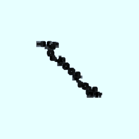 CCOC(Cc1ccc(OCCc2nc(-c3ccc(-c4ccc(-c5nc(CCOc6ccc(C[C@H](OCC)C(=O)O)cc6)c(C)o5)cc4)cc3)oc2C)cc1)C(=O)OC(C)C